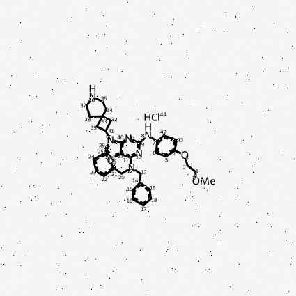 COCCOc1ccc(Nc2nc(N(Cc3ccccc3)Cc3ccccc3)c3ncn(C4CC5(CCNCC5)C4)c3n2)cc1.Cl